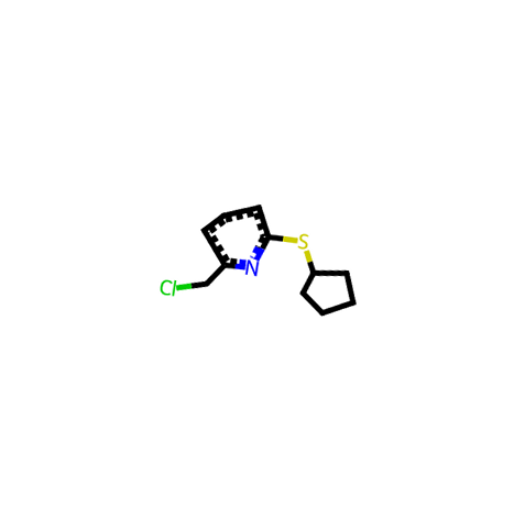 ClCc1cccc(SC2CCCC2)n1